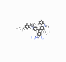 CCN(Cc1cccc(S(=O)(=O)O)c1)c1ccc(C(=C2C=CC(=[N+](CC)Cc3cccc(S(=O)(=O)O)c3)C=C2)c2ccccc2S(=O)(=O)O)cc1.NN